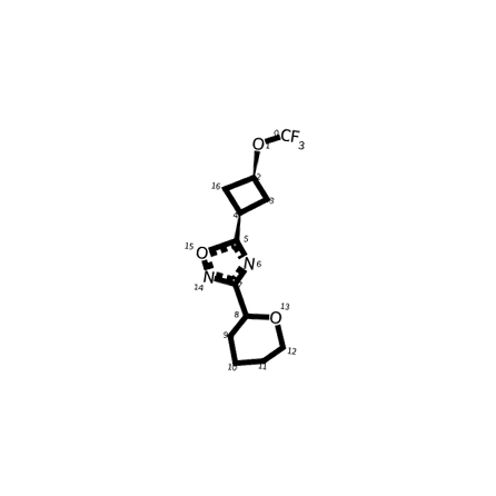 FC(F)(F)O[C@H]1C[C@@H](c2nc(C3CCCCO3)no2)C1